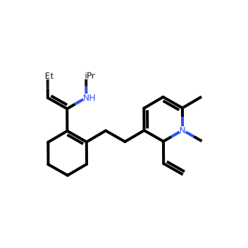 C=CC1C(CCC2=C(/C(=C/CC)NC(C)C)CCCC2)=CC=C(C)N1C